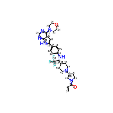 C=CC(=O)N1CC[C@@H](N2CCC([C@@H](Nc3ccc(-c4cc5c(N6CCOCC6)ncnc5[nH]4)cc3)C(F)(F)F)CC2)C1